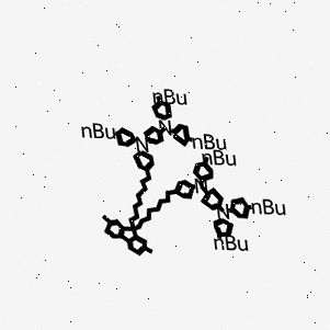 CCCCc1ccc(N(c2ccc(CCCC)cc2)c2ccc(N(c3ccc(CCCC)cc3)c3ccc(CCCCCCCCC4(CCCCCCCCc5ccc(N(c6ccc(CCCC)cc6)c6ccc(N(c7ccc(CCCC)cc7)c7ccc(CCCC)cc7)cc6)cc5)c5cc(C)ccc5-c5ccc(C)cc54)cc3)cc2)cc1